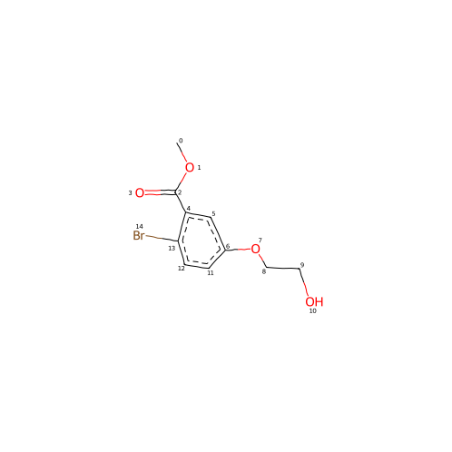 COC(=O)c1cc(OCCO)ccc1Br